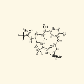 CCCCC(C)(C)C(=O)NCC1OC(C)(C)N(C(=O)OC(C)(C)C)[C@H]1C[C@@H](C(C)C)C(O)c1ccc(CC)c(OCCCOC)c1